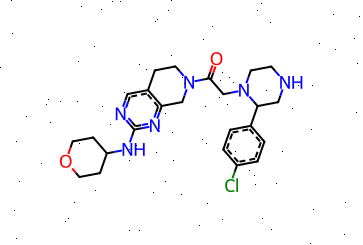 O=C(CN1CCNCC1c1ccc(Cl)cc1)N1CCc2cnc(NC3CCOCC3)nc2C1